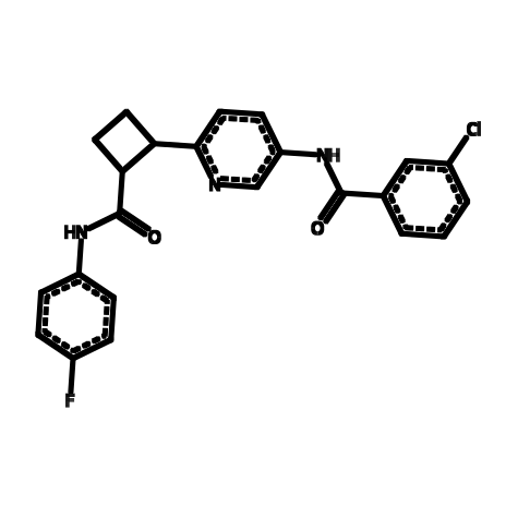 O=C(Nc1ccc(C2CCC2C(=O)Nc2ccc(F)cc2)nc1)c1cccc(Cl)c1